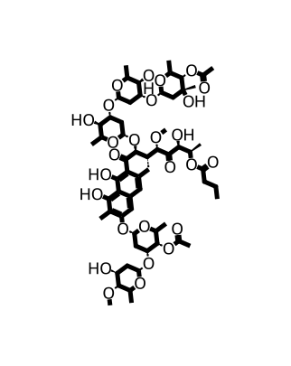 CCCC(=O)O[C@H](C)[C@H](O)C(=O)[C@@H](OC)[C@@H]1Cc2cc3cc(O[C@H]4C[C@@H](O[C@H]5C[C@@H](O)[C@@H](OC)C(C)O5)[C@@H](OC(C)=O)C(C)O4)c(C)c(O)c3c(O)c2C(=O)[C@H]1O[C@H]1C[C@@H](O[C@H]2C[C@@H](O[C@H]3C[C@@](C)(O)[C@@H](OC(C)=O)C(C)O3)[C@H](O)C(C)O2)[C@H](O)C(C)O1